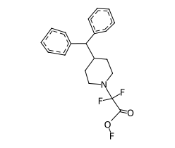 O=C(OF)C(F)(F)N1CCC(C(c2ccccc2)c2ccccc2)CC1